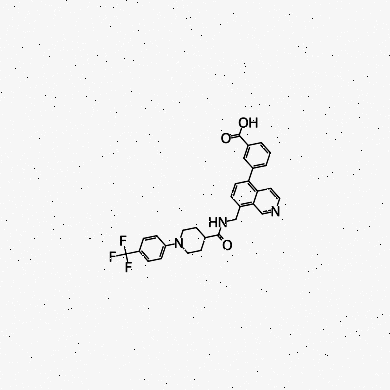 O=C(O)c1cccc(-c2ccc(CNC(=O)C3CCN(c4ccc(C(F)(F)F)cc4)CC3)c3cnccc23)c1